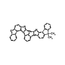 CC1(C)c2ccccc2-c2c1ccc1c2nc2n1c1cccc3c1n2c1nc2ccc4oc5ccccc5c4c2n31